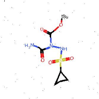 CC(C)(C)OC(=O)N(NS(=O)(=O)C1CC1)C(N)=O